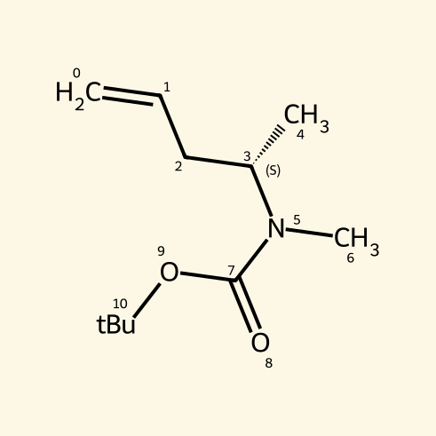 C=CC[C@H](C)N(C)C(=O)OC(C)(C)C